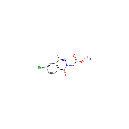 COC(=O)Cn1nc(I)c2cc(Br)ccc2c1=O